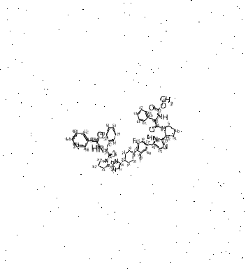 COC(=O)N[C@@H](C(=O)N1CCC[C@H]1c1ncc(-c2cc(F)c(N3CCC(c4cnc([C@@H]5CCCN5C(=O)[C@H](NC(=O)c5cccnc5)c5ccccc5)[nH]4)CC3)c(F)c2)[nH]1)c1ccccc1